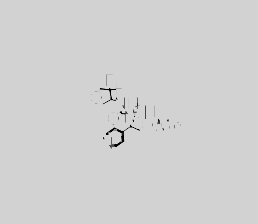 COCC(c1ccncc1)N(C)C(=O)NC1COCC1(F)F